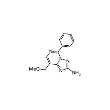 COCc1cnc(-c2ccccc2)n2nc(N)nc12